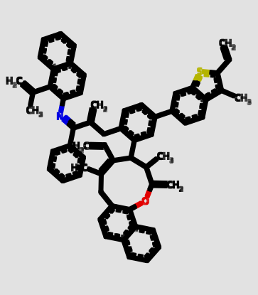 C=C/C1=C(\C)Cc2ccc3ccccc3c2OC(=C)C(C)C1c1cc(-c2ccc3c(C)c(C=C)sc3c2)ccc1CC(=C)/C(=N\c1ccc2ccccc2c1C(=C)C)c1ccccc1